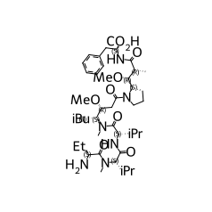 CC[C@H](N)C(=O)N(C)[C@H](C(=O)N[C@H](C(=O)N(C)[C@@H]([C@@H](C)CC)[C@@H](CC(=O)N1CCC[C@H]1[C@H](OC)[C@@H](C)C(=O)N[C@@H](Cc1ccccc1)C(=O)O)OC)C(C)C)C(C)C